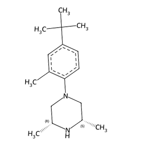 Cc1cc(C(C)(C)C)ccc1N1C[C@@H](C)N[C@@H](C)C1